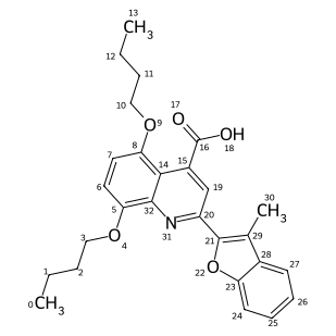 CCCCOc1ccc(OCCCC)c2c(C(=O)O)cc(-c3oc4ccccc4c3C)nc12